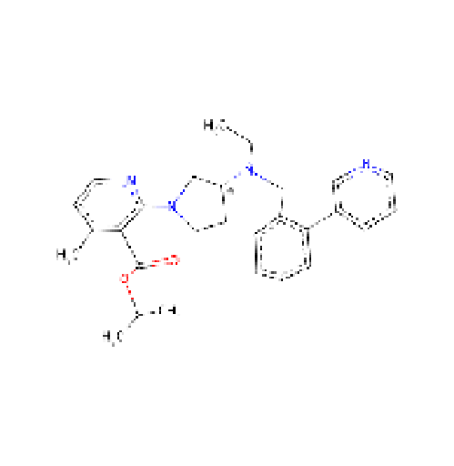 CCN(Cc1ccccc1-c1cccnc1)[C@@H]1CCN(c2nccc(C)c2C(=O)OC(C)C)C1